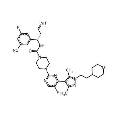 Cc1nn(CCC2CCOCC2)c(C)c1-c1nc(N2CCN(C(=O)N[C@@H](CC=N)c3cc(F)cc(C#N)c3)CC2)ncc1F